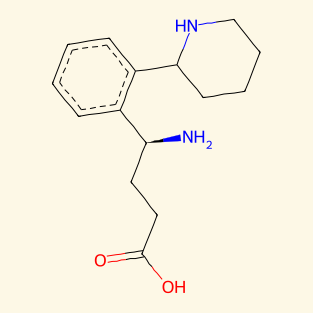 N[C@@H](CCC(=O)O)c1ccccc1C1CCCCN1